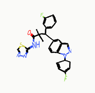 CC(C)(C(=O)Nc1nncs1)C(c1cccc(F)c1)c1ccc2c(cnn2C2C=CC(F)=CC2)c1